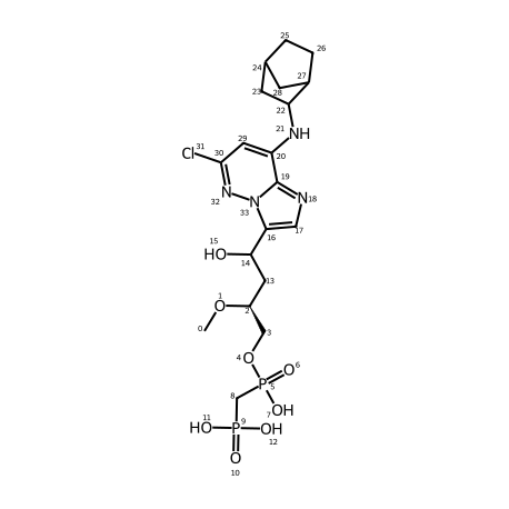 CO[C@H](COP(=O)(O)CP(=O)(O)O)CC(O)c1cnc2c(NC3CC4CCC3C4)cc(Cl)nn12